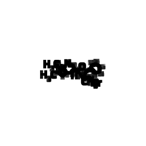 Cc1cc2cc(C(=O)NC(C)(Cc3ccccc3)CC(C)C)cnc2n1C